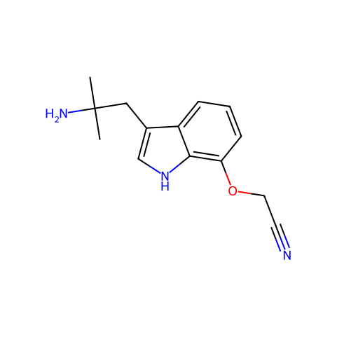 CC(C)(N)Cc1c[nH]c2c(OCC#N)cccc12